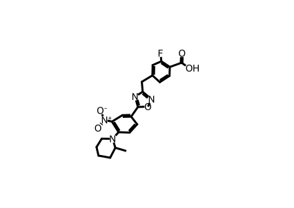 CC1CCCCN1c1ccc(-c2nc(Cc3ccc(C(=O)O)c(F)c3)no2)cc1[N+](=O)[O-]